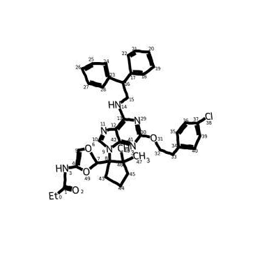 CCC(=O)NC1=COC(C2(n3cnc4c(NCC(c5ccccc5)c5ccccc5)nc(OCCc5ccc(Cl)cc5)nc43)CCCC2(C)C)O1